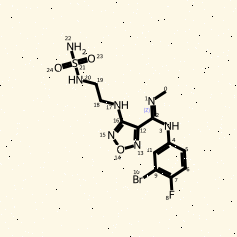 C/N=C(\Nc1ccc(F)c(Br)c1)c1nonc1NCCNS(N)(=O)=O